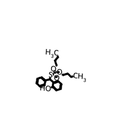 CCCCOP(=O)(OCCCC)SC(c1ccccc1)c1ccccc1O